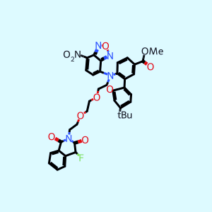 COC(=O)c1ccc(N(C(=O)COCCOCCN2C(=O)c3ccccc3C(F)C2=O)c2ccc([N+](=O)[O-])c3nonc23)c(-c2ccc(C(C)(C)C)cc2)c1